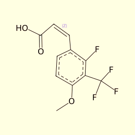 COc1ccc(/C=C\C(=O)O)c(F)c1C(F)(F)F